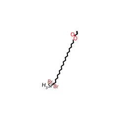 C=CC(=O)OCCCCCCCCCCCCCCCCCCCCC([SiH3])(Br)Br